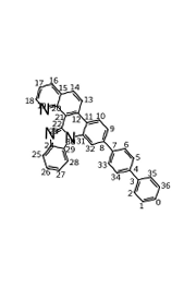 c1ccc(-c2ccc(-c3ccc4c5ccc6cccnc6c5c5nc6ccccc6n5c4c3)cc2)cc1